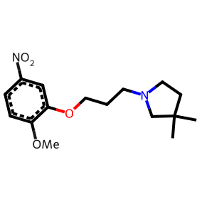 COc1ccc([N+](=O)[O-])cc1OCCCN1CCC(C)(C)C1